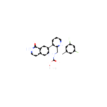 CC(C)(C)OC(=O)N[C@@H](Cc1cc(F)cc(F)c1)c1ncccc1-c1ccc2cc[nH]c(=O)c2c1